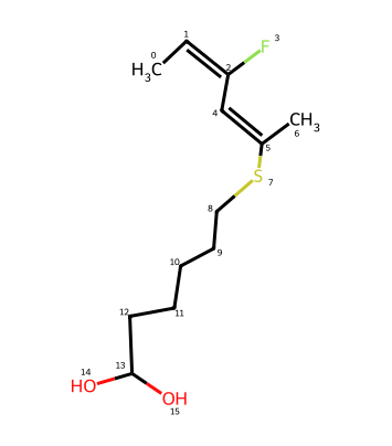 C/C=C(F)\C=C(/C)SCCCCCC(O)O